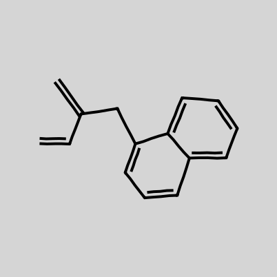 C=CC(=C)Cc1cccc2ccccc12